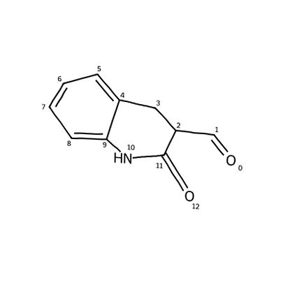 O=CC1Cc2ccccc2NC1=O